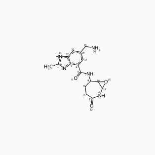 Cc1nc2c(C(=O)NC3CCC(=O)NC4OC34)cc(CN)cc2[nH]1